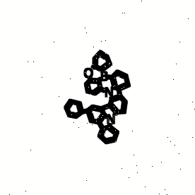 c1ccc(-c2cc3c4ccccc4n4c5ccc6c7cccc8c7n(c6c5c(c2)c34)-c2cccc3c2B8c2ccccc2O3)cc1